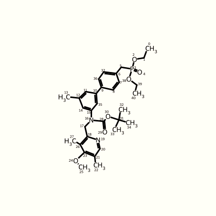 CCOP(=O)(Cc1ccc(-c2cc(C)cc(N(Cc3ncc(C)c(OC)c3C)C(=O)OC(C)(C)C)c2)cc1)OCC